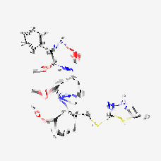 COC(=O)C(=C(C)CSc1nnc(C)s1)N1CC(NC(=O)C(=NO)c2ccccc2)C1=O